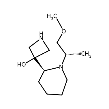 COC[C@H](C)N1CCCC[C@H]1C1(O)CNC1